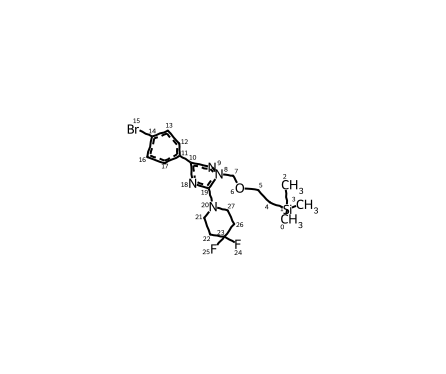 C[Si](C)(C)CCOCn1nc(-c2ccc(Br)cc2)nc1N1CCC(F)(F)CC1